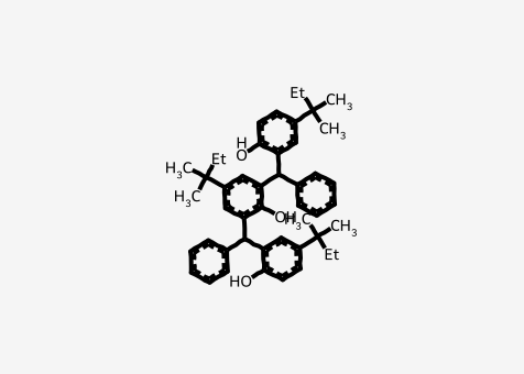 CCC(C)(C)c1ccc(O)c(C(c2ccccc2)c2cc(C(C)(C)CC)cc(C(c3ccccc3)c3cc(C(C)(C)CC)ccc3O)c2O)c1